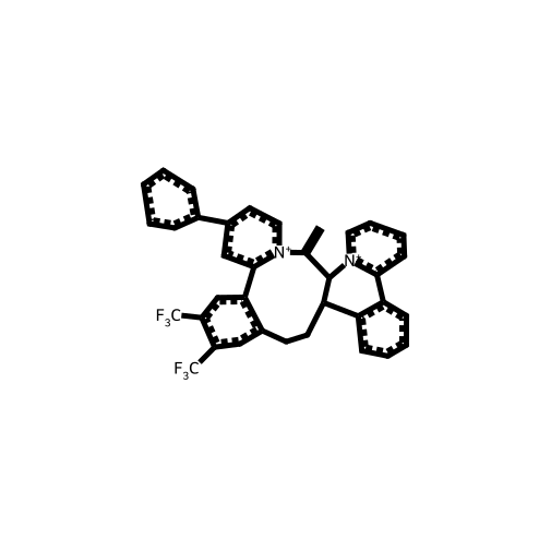 C=C1C2C(CCc3cc(C(F)(F)F)c(C(F)(F)F)cc3-c3cc(-c4ccccc4)cc[n+]31)c1ccccc1-c1cccc[n+]12